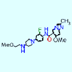 COCCNC1CCN(c2ccc(NC(=O)c3cn4cc(C)nc4cc3OC)c(F)c2)CC1